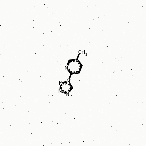 Cc1ccc(-n2cnnn2)nc1